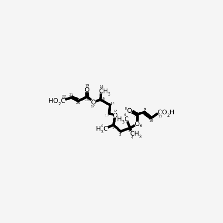 CC(CC(C)(C)OC(=O)C=CC(=O)O)OCCC(C)OC(=O)C=CC(=O)O